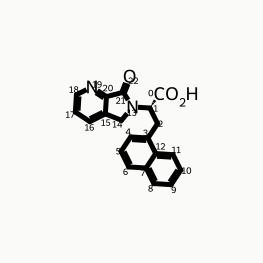 O=C(O)[C@H](Cc1cccc2ccccc12)N1Cc2cccnc2C1=O